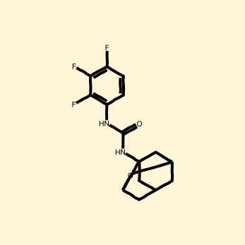 O=C(Nc1ccc(F)c(F)c1F)NC12CC3CC(CC(C3)O1)C2